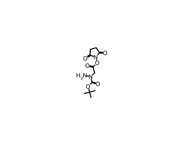 CC(C)(C)OC(=O)N(N)CC(=O)ON1C(=O)CCC1=O